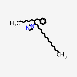 CCCCCCCCCCCCCCC(C(CCCCCC)Cc1ccccc1)n1ccnc1